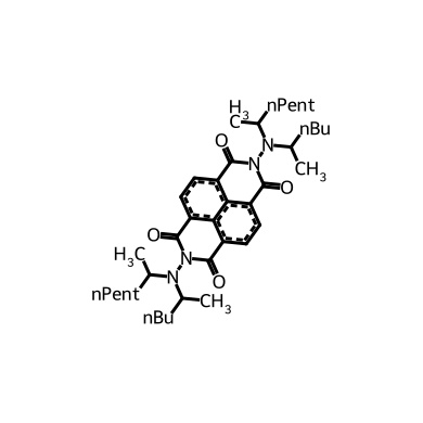 CCCCCC(C)N(C(C)CCCC)N1C(=O)c2ccc3c4c(ccc(c24)C1=O)C(=O)N(N(C(C)CCCC)C(C)CCCCC)C3=O